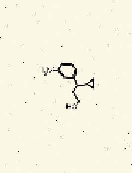 Nc1cccc(C(CCO)C2CC2)c1